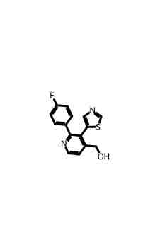 OCc1ccnc(-c2ccc(F)cc2)c1-c1cncs1